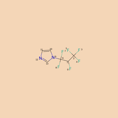 FC(C(F)(F)F)C(F)(F)n1ccnc1